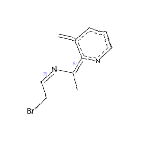 C=c1cccn/c1=C(C)/N=C\CBr